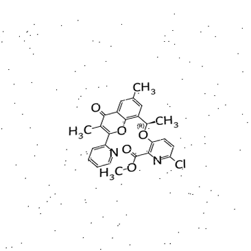 COC(=O)c1nc(Cl)ccc1O[C@H](C)c1cc(C)cc2c(=O)c(C)c(-c3ccccn3)oc12